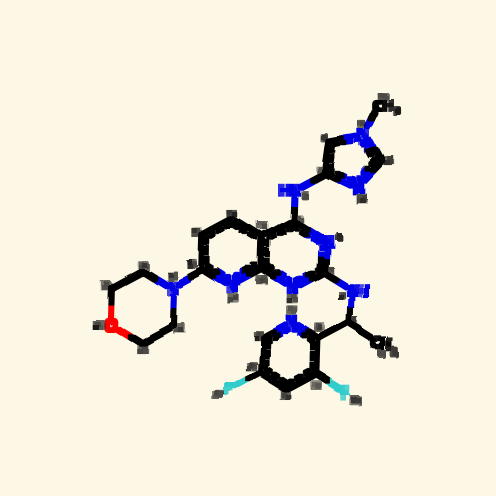 CC(Nc1nc(Nc2cn(C)cn2)c2ccc(N3CCOCC3)nc2n1)c1ncc(F)cc1F